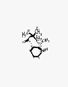 C[C@@H]1NCCC[C@@H]1C(=O)C(C)(C)C